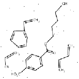 C=CC#N.C=CC=C.C=Cc1ccccc1.O=C(O)c1ccc(C(=O)OCCCCO)cc1